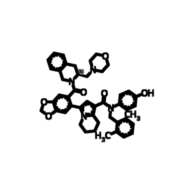 Cc1cccc(C)c1CN(C(=O)c1cc(-c2cc3c(cc2C(=O)N2Cc4ccccc4C[C@H]2CN2CCOCC2)OCO3)n2c1CCCC2)c1ccc(O)cc1